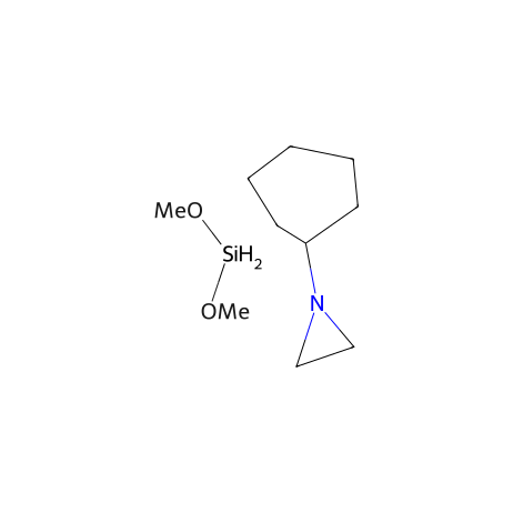 C1CCC(N2CC2)CC1.CO[SiH2]OC